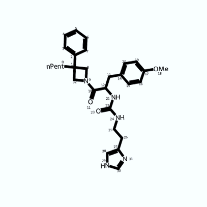 CCCCCC1(c2ccccc2)CN(C(=O)C(Cc2ccc(OC)cc2)NC(=O)NCCc2c[nH]cn2)C1